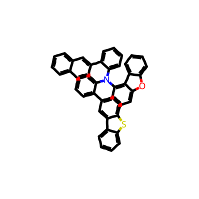 c1ccc(N(c2ccccc2-c2ccc3sc4ccccc4c3c2)c2cccc3oc4ccccc4c23)c(-c2ccc3ccccc3c2)c1